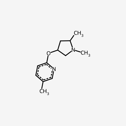 Cc1ccc(OC2CC(C)N(C)C2)nc1